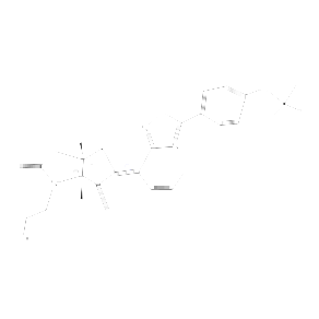 C=C1/C(=C(\C=C/C)c2noc(-c3ccc(OC(F)(F)F)cc3)n2)C[C@H]2CC(=O)N(CCO)[C@@H]12